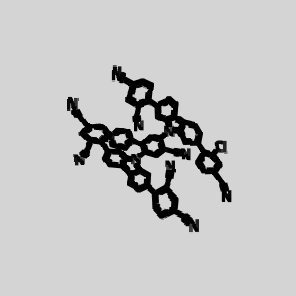 N#Cc1ccc(-c2ccc3c4ccc(-c5ccc(C#N)cc5C#N)cc4n(-c4cc(-c5ccncc5)c(-n5c6cc(-c7ccc(C#N)cc7C#N)ccc6c6ccc(-c7ccc(C#N)cc7C#N)cc65)cc4C#N)c3c2)c(Cl)c1